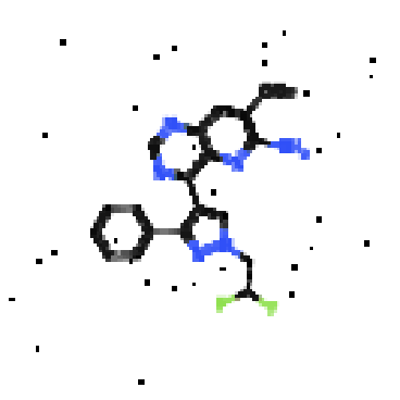 COc1cc2ncnc(-c3cn(CC(F)F)nc3-c3ccccc3)c2nc1N